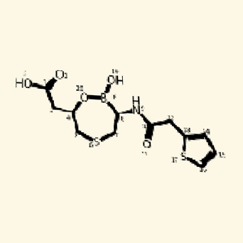 O=C(O)C[C@@H]1CSC[C@H](NC(=O)Cc2cccs2)B(O)O1